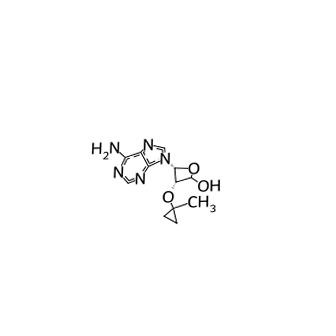 CC1(O[C@H]2C(O)O[C@H]2n2cnc3c(N)ncnc32)CC1